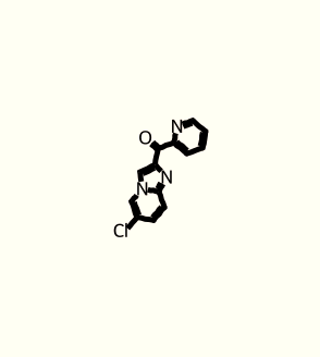 O=C(c1ccccn1)c1cn2cc(Cl)ccc2n1